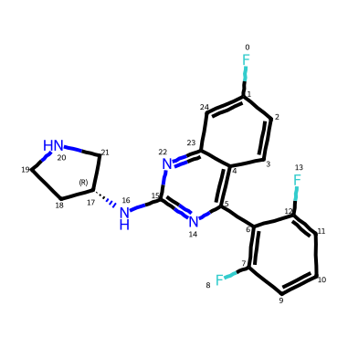 Fc1ccc2c(-c3c(F)cccc3F)nc(N[C@@H]3CCNC3)nc2c1